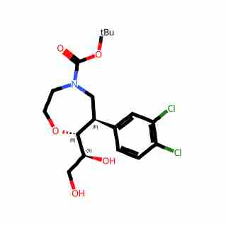 CC(C)(C)OC(=O)N1CCO[C@@H]([C@@H](O)CO)[C@H](c2ccc(Cl)c(Cl)c2)C1